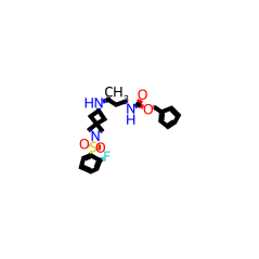 CC(CCNC(=O)OCc1ccccc1)NC1CC2(C1)CN(S(=O)(=O)c1ccccc1F)C2